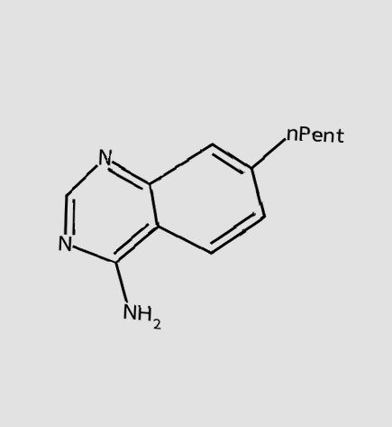 C[CH]CCCc1ccc2c(N)ncnc2c1